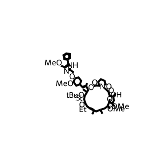 CCC1/C=C(\C)CC(C)CC(OC)C2OC(O)(C(=O)C(=O)N3CCCCC3C(=O)OC(C(C)=CC3CCC(OCc4nc(COC)c(-c5ccccc5)[nH]4)C(OC)C3)C(C)C(O[Si](C)(C)C(C)(C)C)CC1=O)C(C)CC2OC